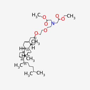 CCOC(=O)CN(CCOCCO[C@H]1CC[C@@]2(C)C(=CC[C@H]3[C@@H]4CC[C@H]([C@H](C)CCCC(C)C)[C@@]4(C)CC[C@@H]32)C1)CC(=O)OCC